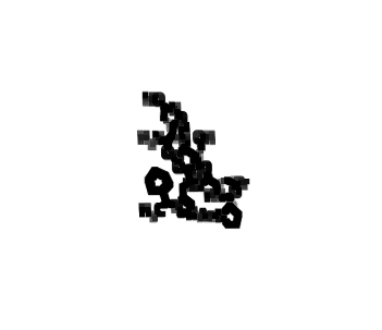 CC(=O)N1CCC[C@H]1C(=O)N[C@@H](CC(C)C)C(=O)N[C@@H](Cc1cncn1C(C)c1ccccc1)C(=O)N[C@@H](CO)C(=O)N[C@H](C(N)=O)[C@@H]1CC(O)=NO1